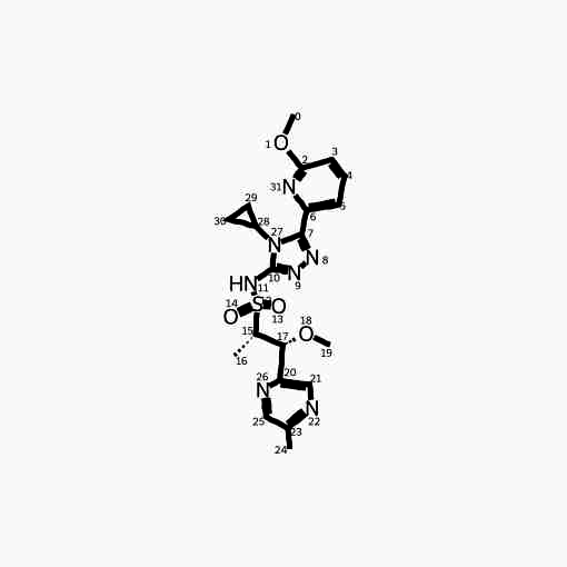 COc1cccc(-c2nnc(NS(=O)(=O)[C@@H](C)[C@H](OC)c3cnc(C)cn3)n2C2CC2)n1